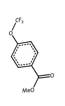 [CH2]OC(=O)c1ccc(OC(F)(F)F)cc1